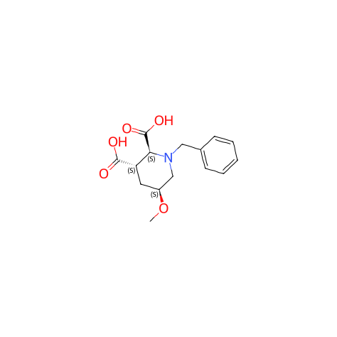 CO[C@H]1C[C@H](C(=O)O)[C@@H](C(=O)O)N(Cc2ccccc2)C1